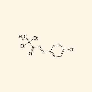 CCC(C)(CC)C(=O)/C=C/c1ccc(Cl)cc1